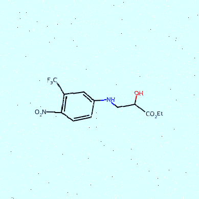 CCOC(=O)C(O)CNc1ccc([N+](=O)[O-])c(C(F)(F)F)c1